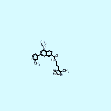 CCOc1cc(-c2ccnc(C)c2)nc2cc(C(=O)NCCCC3=C(C)NNN3)ccc12